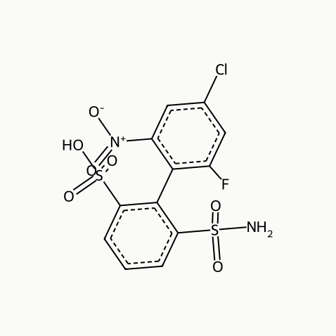 NS(=O)(=O)c1cccc(S(=O)(=O)O)c1-c1c(F)cc(Cl)cc1[N+](=O)[O-]